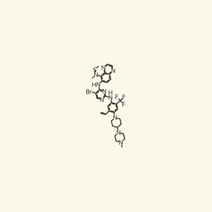 C=Cc1cc(Nc2ncc(Br)c(Nc3ccc4nccnc4c3N(C)SC)n2)c(C(F)(F)F)cc1N1CCC(N2CCN(C)CC2)CC1